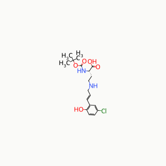 CC(C)(C)OC(=O)N[C@@H](CCNC/C=C/c1cc(Cl)ccc1O)C(=O)O